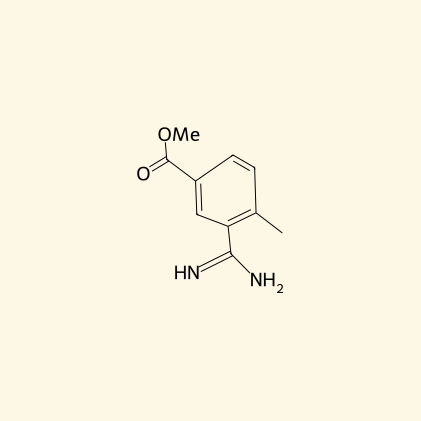 COC(=O)c1ccc(C)c(C(=N)N)c1